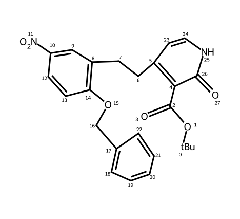 CC(C)(C)OC(=O)c1c(CCc2cc([N+](=O)[O-])ccc2OCc2ccccc2)cc[nH]c1=O